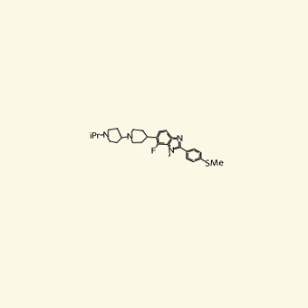 CSc1ccc(-c2nc3ccc(C4CCN(C5CCN(C(C)C)CC5)CC4)c(F)c3n2C)cc1